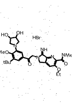 Br.CCOc1cc2c(nc1C(=O)NC)C(=N)N(CC(=O)c1cc(N3CC(O)C(O)C3)c(OC)c(C(C)(C)C)c1)C2